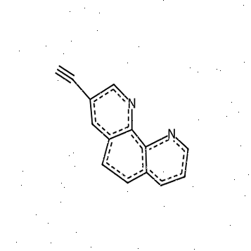 C#Cc1cnc2c(ccc3cccnc32)c1